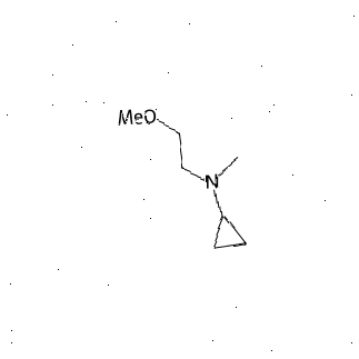 COCCN(C)C1CC1